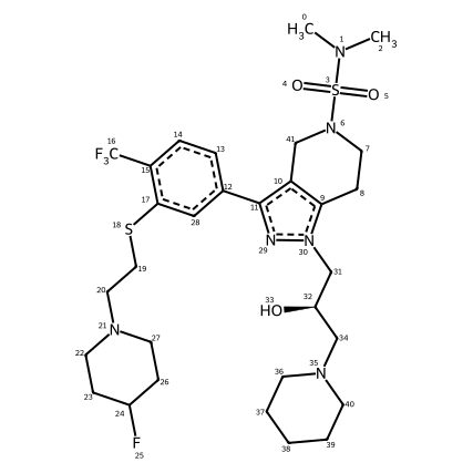 CN(C)S(=O)(=O)N1CCc2c(c(-c3ccc(C(F)(F)F)c(SCCN4CCC(F)CC4)c3)nn2C[C@H](O)CN2CCCCC2)C1